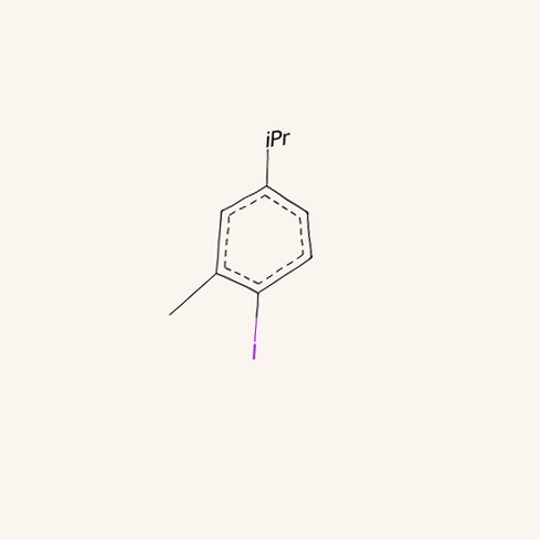 Cc1cc(C(C)C)ccc1I